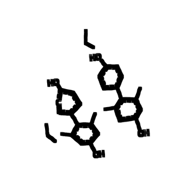 CCC.CCC.Cc1cc(O)cc(C)c1-c1ccc(O)cc1.Cc1cc(O)cc(C)c1-c1ccc(O)cc1